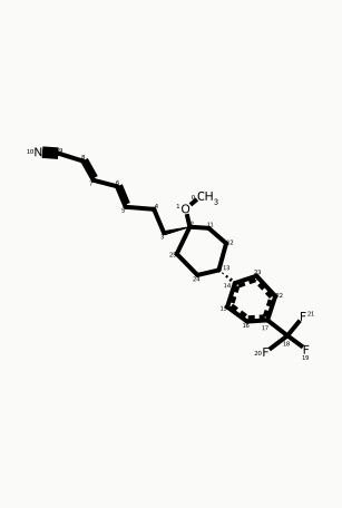 CO[C@]1(CCC=CC=CC#N)CC[C@H](c2ccc(C(F)(F)F)cc2)CC1